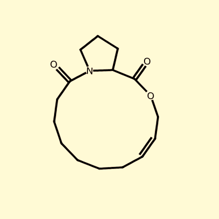 O=C1OCC=CCCCCCCC(=O)N2CCCC12